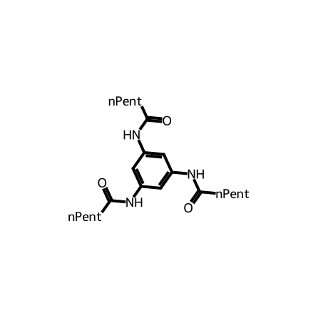 CCCCCC(=O)Nc1cc(NC(=O)CCCCC)cc(NC(=O)CCCCC)c1